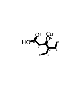 CCC(CC)C(=O)CC(=O)O.[Cu]